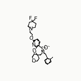 Cc1ccccc1CN1CC2(CCOCC2)Oc2nc(OCCN3CCC(F)(F)CC3)ccc2[S+]1[O-]